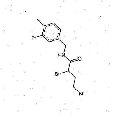 Cc1ccc(CNC(=O)C(Br)CCBr)cc1F